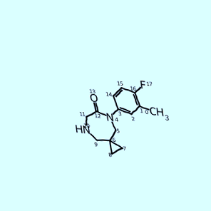 Cc1cc(N2CC3(CC3)CNCC2=O)ccc1F